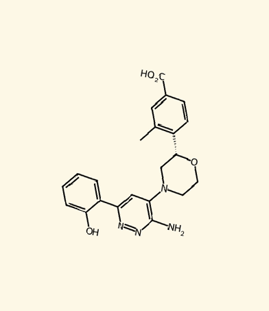 Cc1cc(C(=O)O)ccc1[C@H]1CN(c2cc(-c3ccccc3O)nnc2N)CCO1